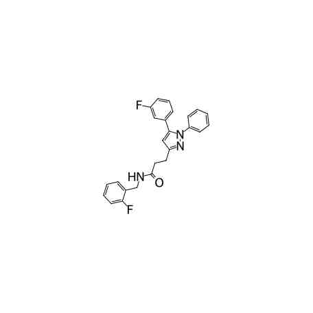 O=C(CCc1cc(-c2cccc(F)c2)n(-c2ccccc2)n1)NCc1ccccc1F